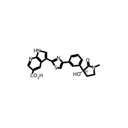 CN1CC[C@@](O)(c2cccc(-c3csc(-c4c[nH]c5ncc(C(=O)O)cc45)n3)c2)C1=O